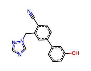 N#Cc1ccc(-c2cccc(O)c2)cc1Cn1cncn1